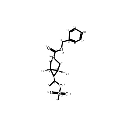 CC(OS(C)(=O)=O)[C@H]1[C@@H]2CN(C(=O)OCc3ccccc3)C[C@@H]21